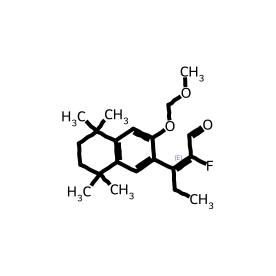 CC/C(=C(\F)C=O)c1cc2c(cc1OCOC)C(C)(C)CCC2(C)C